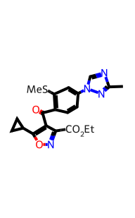 CCOC(=O)c1noc(C2CC2)c1C(=O)c1ccc(-n2cnc(C)n2)cc1SC